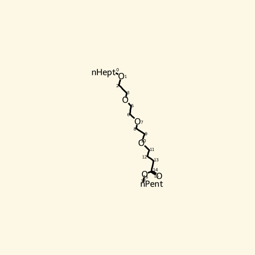 CCCCCCCOCCOCCOCCOCCCC(=O)OCCCCC